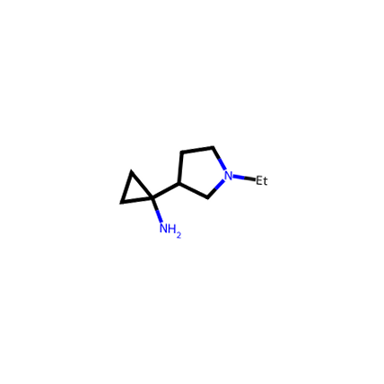 CCN1CCC(C2(N)CC2)C1